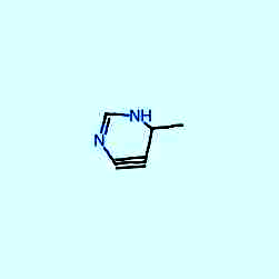 CC1C#CN=CN1